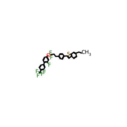 CCCc1ccc2cc(-c3ccc(CCC(F)(F)Oc4ccc(-c5ccc(C(F)(F)F)c(F)c5)c(F)c4)cc3)sc2c1